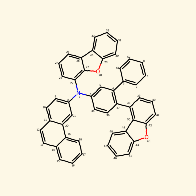 c1ccc(-c2cc(N(c3ccc4ccc5ccccc5c4c3)c3cccc4c3oc3ccccc34)ccc2-c2cccc3oc4ccccc4c23)cc1